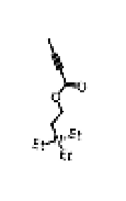 CC#CC(=O)OCC[N+](CC)(CC)CC